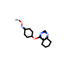 CCCCON=C1CCC(Oc2ncnc3c2CCCC3)CC1